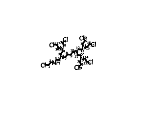 ClCCNCCN(CCCCN(CCN(CCCl)CCCl)CCN(CCCl)CCCl)CCN(CCCl)CCCl